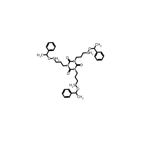 CC(O[SiH2]CCCn1c(=O)n(CCC[SiH2]OC(C)c2ccccc2)c(=O)n(CCC[SiH2]OC(C)c2ccccc2)c1=O)c1ccccc1